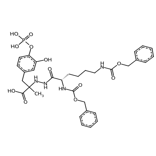 CC(Cc1ccc(OP(=O)(O)O)c(O)c1)(NNC(=O)[C@H](CCCCNC(=O)OCc1ccccc1)NC(=O)OCc1ccccc1)C(=O)O